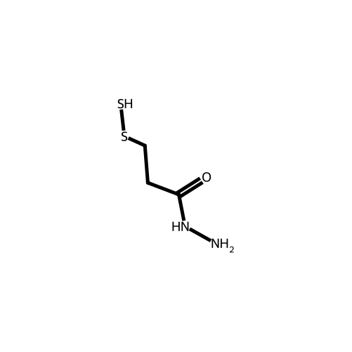 NNC(=O)CCSS